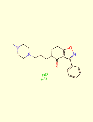 CN1CCN(CCCC2CCc3onc(-c4ccccc4)c3C2=O)CC1.Cl.Cl